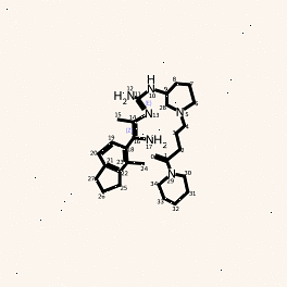 C=C(CCCN1CCCC(N/C(N)=N/C(C)=C(\N)c2ccc3c(c2C)CCC3)C1)N1CCCCC1